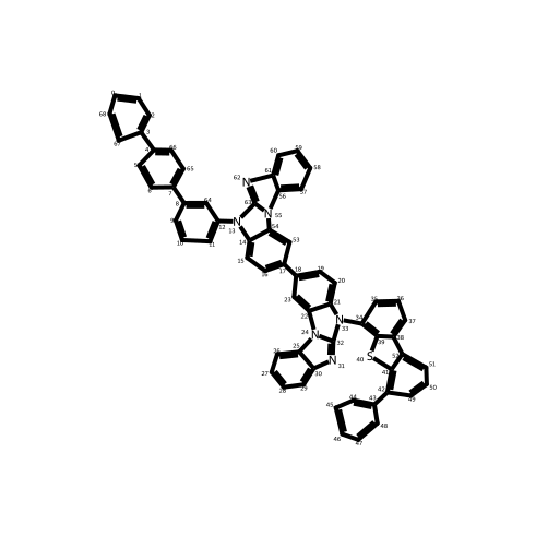 c1ccc(-c2ccc(-c3cccc(-n4c5ccc(-c6ccc7c(c6)n6c8ccccc8nc6n7-c6cccc7c6sc6c(-c8ccccc8)cccc67)cc5n5c6ccccc6nc45)c3)cc2)cc1